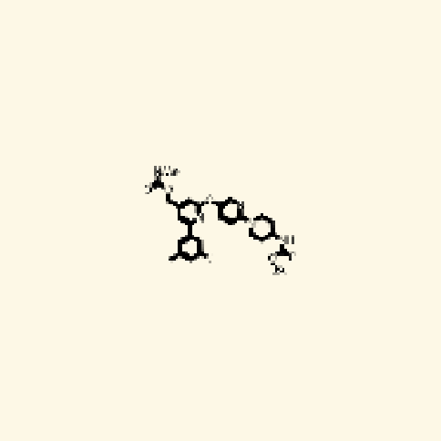 CNC(=O)OCc1cc(Oc2ccc(N3CCC(NC(=O)OC(C)(C)C)CC3)nc2)nc(-c2cc(C)cc(Cl)c2)c1